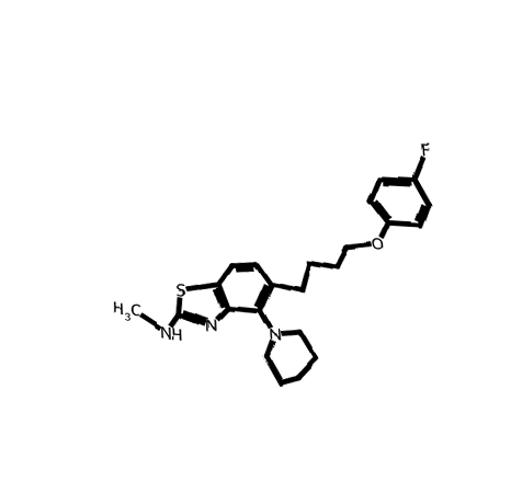 CNc1nc2c(N3CCCCC3)c(CCCCOc3ccc(F)cc3)ccc2s1